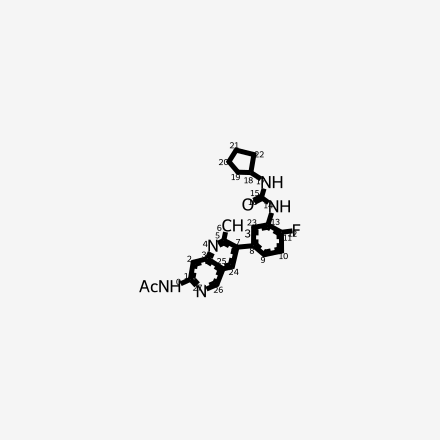 CC(=O)Nc1cc2nc(C)c(-c3ccc(F)c(NC(=O)NC4CCCC4)c3)cc2cn1